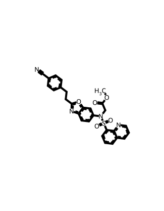 COC(=O)CN(c1ccc2nc(CCc3ccc(C#N)cc3)oc2c1)S(=O)(=O)c1cccc2cccnc12